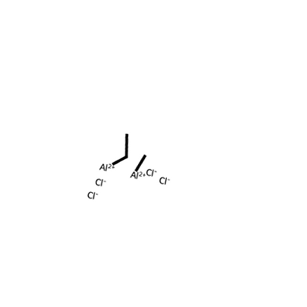 C[CH2][Al+2].[CH3][Al+2].[Cl-].[Cl-].[Cl-].[Cl-]